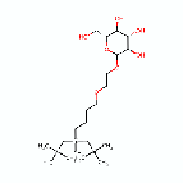 C[Si](C)(C)C[Si](C)(CCCCOCCOC1O[C@H](CO)[C@@H](O)[C@H](O)[C@H]1O)C[Si](C)(C)C